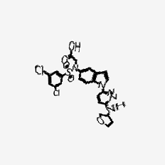 O=C(O)CN(c1ccc2c(ccn2-c2ccc(NC3CCOC3)nn2)c1)S(=O)(=O)c1cc(Cl)cc(Cl)c1